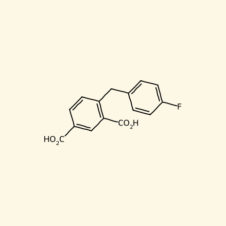 O=C(O)c1ccc(Cc2ccc(F)cc2)c(C(=O)O)c1